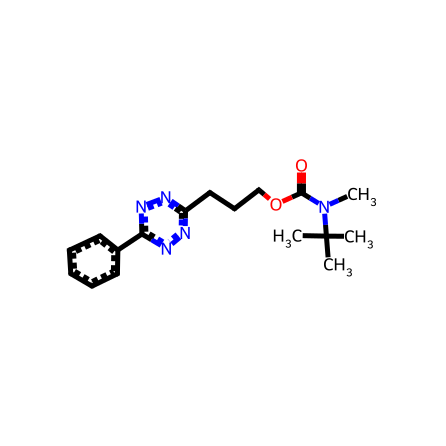 CN(C(=O)OCCCc1nnc(-c2ccccc2)nn1)C(C)(C)C